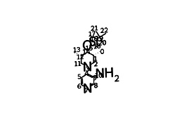 C[C@@H]1CN(c2ccncc2N)C[C@H](C)[C@H]1O[Si](C)(C)C(C)(C)C